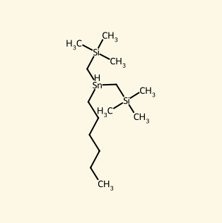 CCCCC[CH2][SnH]([CH2][Si](C)(C)C)[CH2][Si](C)(C)C